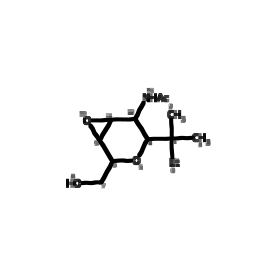 CCC(C)(C)C1OC(CO)C2OC2C1NC(C)=O